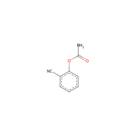 BC(=O)Oc1ccccc1C#N